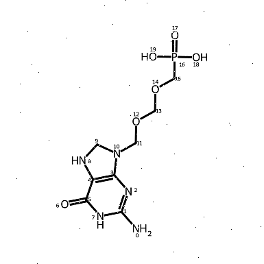 Nc1nc2c(c(=O)[nH]1)NCN2COCOCP(=O)(O)O